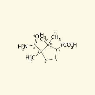 CC1(C(N)=O)CCC(C(=O)O)C1(C)C